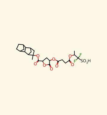 CC(OC(=O)CCC(=O)OC1CC(C(=O)OC2(C)CC3CC2C2C4CCC(C4)C32)OC1=O)C(F)(F)S(=O)(=O)O